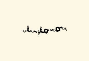 C=Cc1ccc(OCCOc2ccc(/C=C(\C#N)C(=O)OCCOOCC(=C)C#N)cc2)cc1